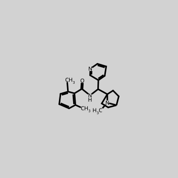 Cc1cccc(C)c1C(=O)NC(c1cccnc1)C12CCC(CC1)N2C